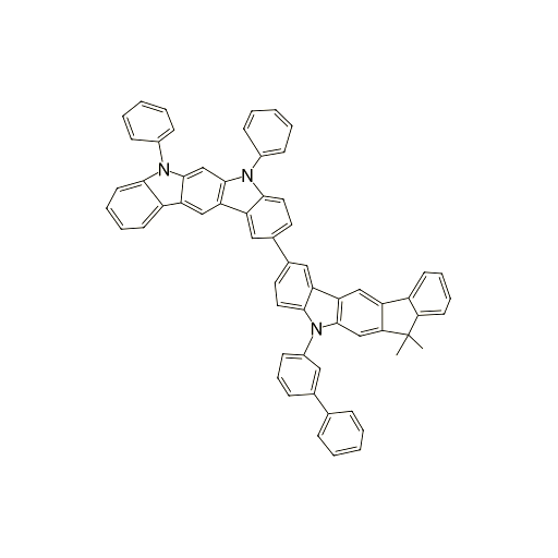 CC1(C)c2ccccc2-c2cc3c4cc(-c5ccc6c(c5)c5cc7c8ccccc8n(-c8ccccc8)c7cc5n6-c5ccccc5)ccc4n(-c4cccc(-c5ccccc5)c4)c3cc21